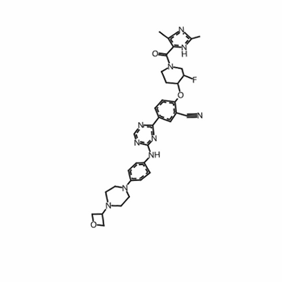 Cc1nc(C)c(C(=O)N2CCC(Oc3ccc(-c4ncnc(Nc5ccc(N6CCN(C7COC7)CC6)cc5)n4)cc3C#N)C(F)C2)[nH]1